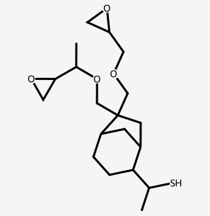 CC(S)C1CCC2CC1CC2(COCC1CO1)COC(C)C1CO1